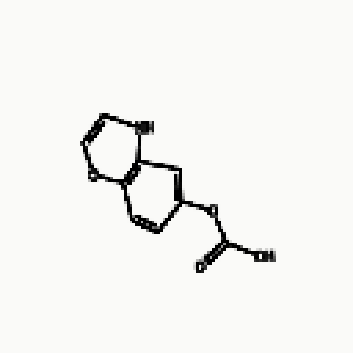 O=C(O)Oc1ccc2c(c1)NC=CO2